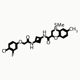 CSN1CC(C(=O)NC23CC(NC(=O)COc4ccc(Cl)c(F)c4)(C2)C3)Oc2ccc(C)cc21